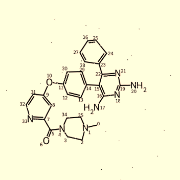 CN1CCN(C(=O)c2cc(Oc3ccc(-c4c(N)nc(N)nc4-c4ccccc4)cc3)ccn2)CC1